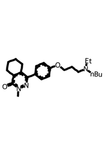 CCCCN(CC)CCCOc1ccc(-c2nn(C)c(=O)c3c2CCCC3)cc1